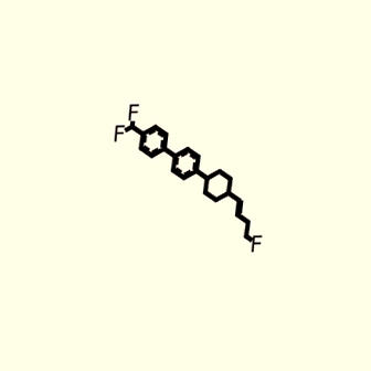 FCCC=CC1CCC(c2ccc(-c3ccc(C(F)F)cc3)cc2)CC1